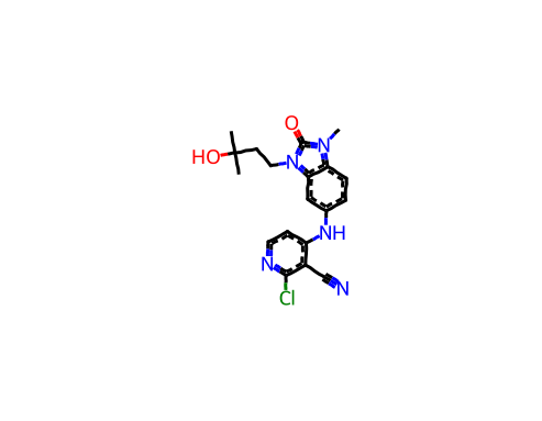 Cn1c(=O)n(CCC(C)(C)O)c2cc(Nc3ccnc(Cl)c3C#N)ccc21